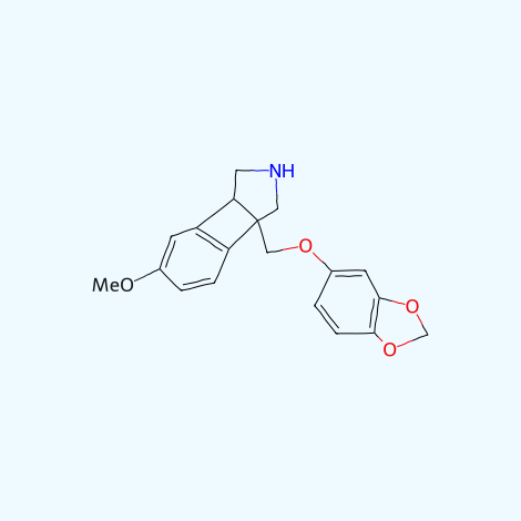 COc1ccc2c(c1)C1CNCC21COc1ccc2c(c1)OCO2